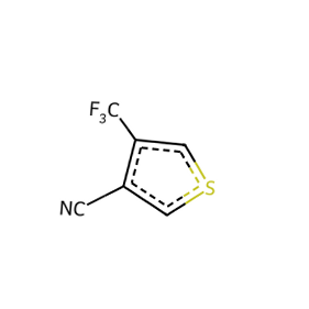 N#Cc1cscc1C(F)(F)F